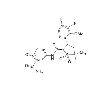 COc1c([C@@H]2C[C@](C)(C(F)(F)F)S(=O)(=O)[C@H]2C(=O)Nc2cc[n+]([O-])c(C(N)=O)c2)ccc(F)c1F